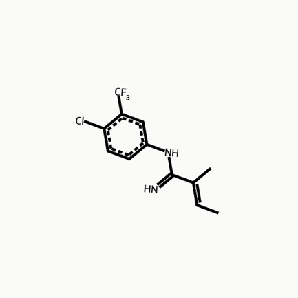 C/C=C(\C)C(=N)Nc1ccc(Cl)c(C(F)(F)F)c1